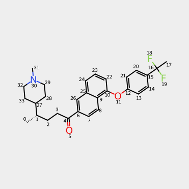 C[C@@H](CCC(=O)c1ccc2c(Oc3ccc(C(C)(F)F)cc3)cccc2c1)C1CCN(C)CC1